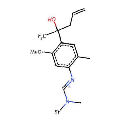 C=CCC(O)(c1cc(C)c(/N=C/N(C)CC)cc1OC)C(F)(F)F